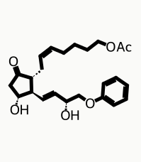 CC(=O)OCCCC/C=C\C[C@H]1C(=O)C[C@@H](O)[C@@H]1/C=C/[C@@H](O)COc1ccccc1